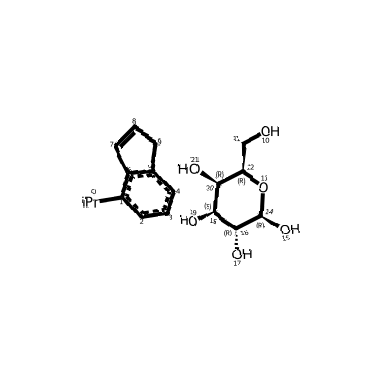 CC(C)c1cccc2c1C=CC2.OC[C@H]1O[C@@H](O)[C@H](O)[C@@H](O)[C@H]1O